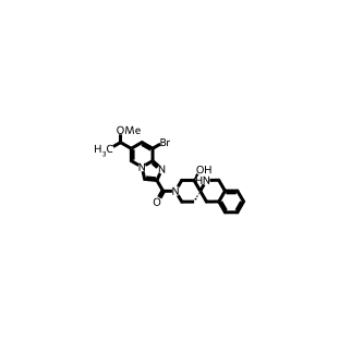 COC(C)c1cc(Br)c2nc(C(=O)N3CC[C@]4(Cc5ccccc5CN4)[C@H](O)C3)cn2c1